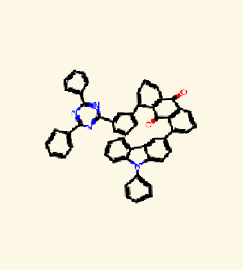 O=C1c2cccc(-c3cccc(-c4nc(-c5ccccc5)nc(-c5ccccc5)n4)c3)c2C(=O)c2c1cccc2-c1ccc2c(c1)c1ccccc1n2-c1ccccc1